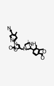 Cc1cc(-n2cc(CN3CC(c4ccc5c(c4C)COC5=O)N[C@@H](C)C3)oc2=O)ncc1C#N